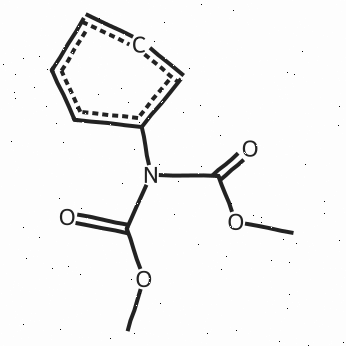 COC(=O)N(C(=O)OC)c1ccccc1